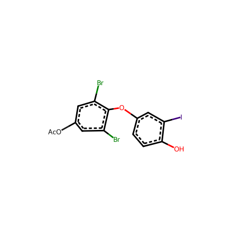 CC(=O)Oc1cc(Br)c(Oc2ccc(O)c(I)c2)c(Br)c1